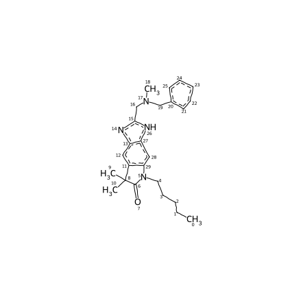 CCCCCN1C(=O)C(C)(C)c2cc3nc(CN(C)Cc4ccccc4)[nH]c3cc21